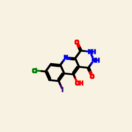 O=c1[nH][nH]c(=O)c2c(O)c3c(I)cc(Cl)cc3nc12